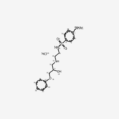 CC(=O)Nc1ccc(S(=O)(=O)NCCNCC(O)COc2ccccc2)cc1.Cl